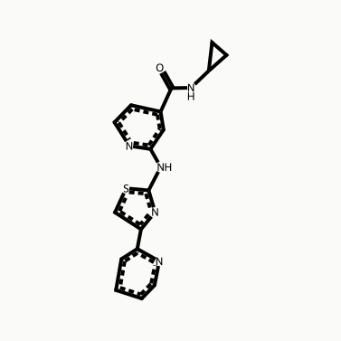 O=C(NC1CC1)c1ccnc(Nc2nc(-c3ccccn3)cs2)c1